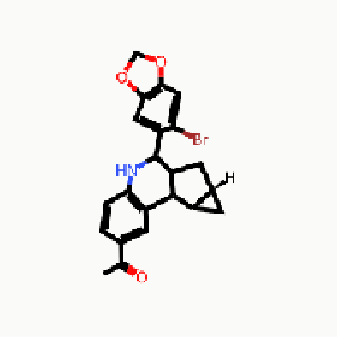 CC(=O)c1ccc2c(c1)C1C(C[C@@H]3CC13)C(c1cc3c(cc1Br)OCO3)N2